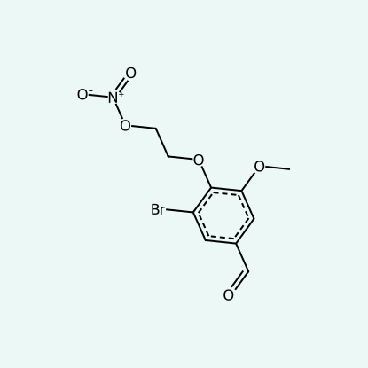 COc1cc(C=O)cc(Br)c1OCCO[N+](=O)[O-]